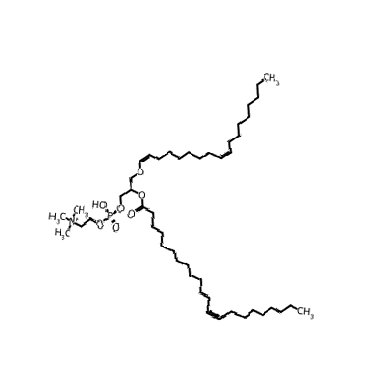 CCCCCCCC/C=C\CCCCCC/C=C\OC[C@H](COP(=O)(O)OCC[N+](C)(C)C)OC(=O)CCCCCCCCCCC/C=C\CCCCCCCC